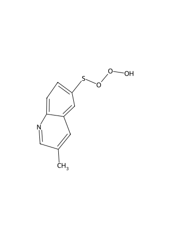 Cc1cnc2ccc(SOOO)cc2c1